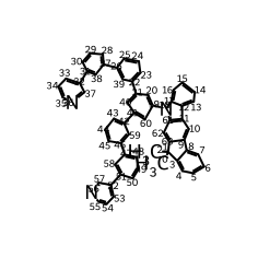 CC1(C)c2ccccc2-c2cc3c4ccccc4n(-c4cc(-c5cccc(-c6cccc(-c7cccnc7)c6)c5)cc(-c5cccc(-c6cccc(-c7cccnc7)c6)c5)c4)c3cc21